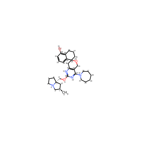 C[C@H]1CN2CCC[C@@]2(COc2nc3c(c(N4CCCCCC4)n2)COC2(CCCc4c(Br)cccc42)C3)C1